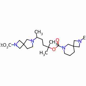 CCOC(=O)N1CC2(CCN(C(C)CCC(C)(C)OC(=O)N3CCCC4(CN(CC)C4)C3)C2)C1